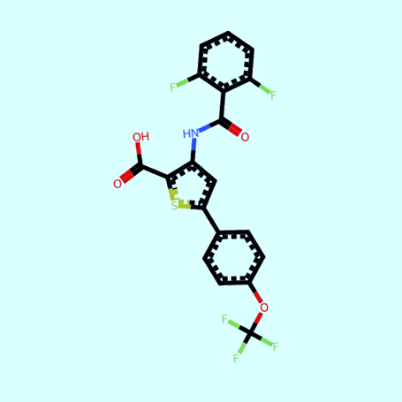 O=C(O)c1sc(-c2ccc(OC(F)(F)F)cc2)cc1NC(=O)c1c(F)cccc1F